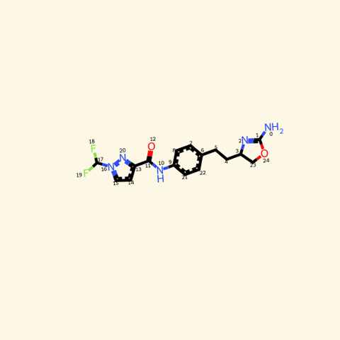 NC1=NC(CCc2ccc(NC(=O)c3ccn(C(F)F)n3)cc2)CO1